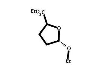 CCOC(=O)C1CC[C@@H](OCC)O1